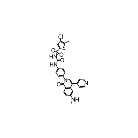 CNc1ccc2c(=O)n(-c3ccc(NC(=O)NS(=O)(=O)c4cc(Cl)c(C)s4)cc3)cc(-c3ccncc3)c2c1